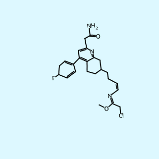 CO/C(CCl)=N/C=C\CCC1CCc2c(C3=CCC(F)C=C3)cc(CC(N)=O)nc2C1